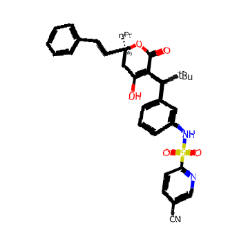 CCC[C@@]1(CCc2ccccc2)CC(O)=C(C(c2cccc(NS(=O)(=O)c3ccc(C#N)cn3)c2)C(C)(C)C)C(=O)O1